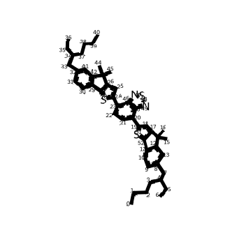 CCCCC(CC)Cc1ccc2c(c1)C(C)(C)c1cc(-c3ccc(-c4cc5c(s4)-c4ccc(CC(CC)CCCC)cc4C5(C)C)c4nsnc34)sc1-2